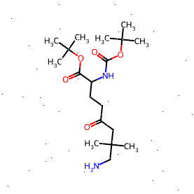 CC(C)(CN)CC(=O)CCC(NC(=O)OC(C)(C)C)C(=O)OC(C)(C)C